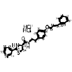 Cl.Cl.O=C(NCCc1ccc(OCCCc2ccccc2)cc1)C1CSC(c2cccnc2)N1